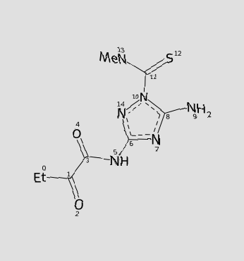 CCC(=O)C(=O)Nc1nc(N)n(C(=S)NC)n1